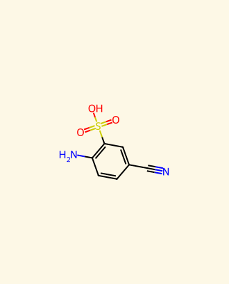 N#Cc1ccc(N)c(S(=O)(=O)O)c1